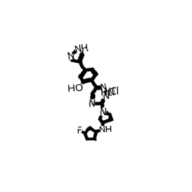 Cl.Cl.Oc1cc(-c2cn[nH]c2)ccc1-c1cnc(N2CCC(NC3CCC(F)C3)C2)nn1